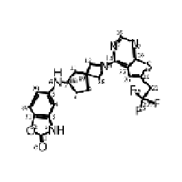 O=c1[nH]c2cc(N[C@@H]3CCC4(C3)CN(c3ncnc5sc(CC(F)(F)F)cc35)C4)ccc2o1